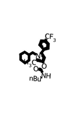 CCCCNC(=O)Oc1cc(-c2ccc(C(F)(F)F)cc2)n(CC2CCCCC2)c1C